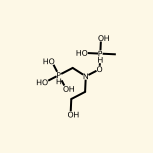 C[PH](O)(O)ON(CCO)C[PH](O)(O)O